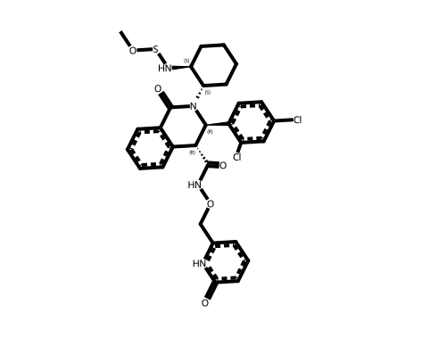 COSN[C@H]1CCCC[C@@H]1N1C(=O)c2ccccc2[C@@H](C(=O)NOCc2cccc(=O)[nH]2)[C@@H]1c1ccc(Cl)cc1Cl